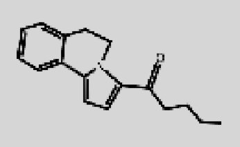 CCCCC(=O)c1ccc2n1CCc1ccccc1-2